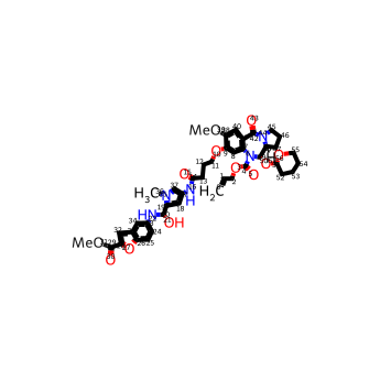 C=CCOC(=O)N1c2cc(OCCCC(=O)Nc3cc(C(O)Nc4ccc5oc(C(=O)OC)cc5c4)n(C)c3)c(OC)cc2C(=O)N2CCC[C@H]2C1OC1CCCCO1